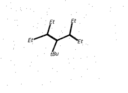 CCC(CC)C(C(CC)CC)C(C)(C)C